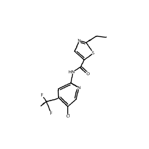 CCc1ncc(C(=O)Nc2cc(C(C)(F)F)c(Cl)cn2)s1